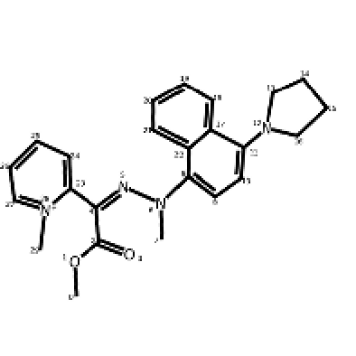 COC(=O)/C(=N\N(C)c1ccc(N2CCCC2)c2ccccc12)c1cccc[n+]1C